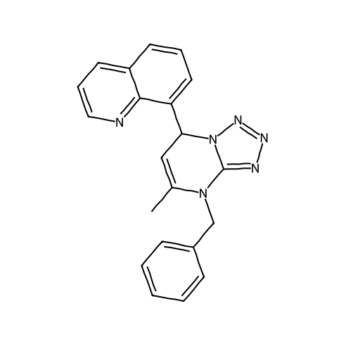 CC1=CC(c2cccc3cccnc23)n2nnnc2N1Cc1ccccc1